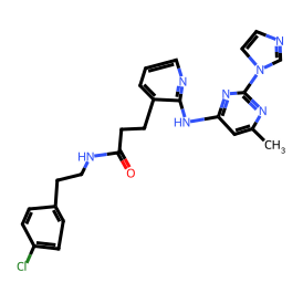 Cc1cc(Nc2ncccc2CCC(=O)NCCc2ccc(Cl)cc2)nc(-n2ccnc2)n1